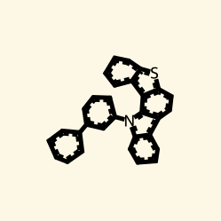 c1ccc(-c2cccc(-n3c4ccccc4c4ccc5sc6ccccc6c5c43)c2)cc1